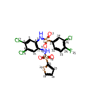 O=S(=O)(Nc1cc(Cl)c(Cl)cc1NS(=O)(=O)c1cccs1)c1ccc(F)c(Cl)c1